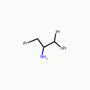 CCCC(C(C)C)C(N)CC(C)C